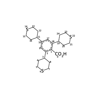 O=C(O)c1c(C2CCSCC2)cc(C2CCSCC2)cc1C1CCSCC1